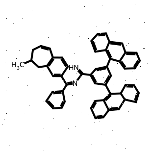 CC1CC=Cc2ccc(/C(=N\C(=N)c3cc(C4=c5ccccc5=CC5C=CC=CC45)cc(-c4c5ccccc5cc5ccccc45)c3)c3ccccc3)cc2C1